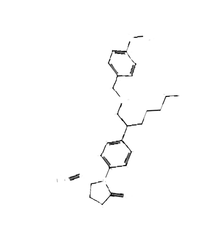 C=C[C@H]1CCC(=O)N1c1ccc(C(CCCCC)COCc2ccc(OC)cc2)cc1